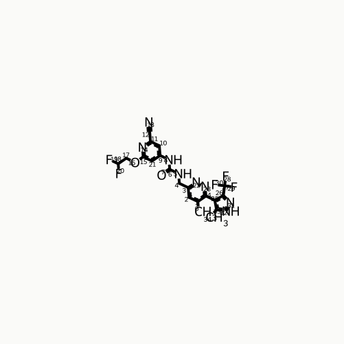 Cc1cc(CNC(=O)Nc2cc(C#N)nc(OCC(F)F)c2)nnc1-c1c(C(F)(F)F)n[nH]c1C